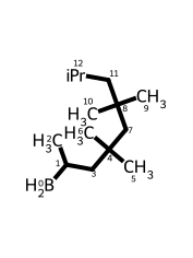 BC(C)CC(C)(C)CC(C)(C)CC(C)C